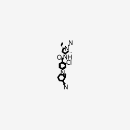 CC[C@H]1C[C@@H](NC(=O)c2ccc(N3CC4CC3CCC4C#N)cc2Cl)[C@@H](C)N1C#N